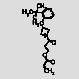 C=CC(=O)OCCC(=O)N1CC(Oc2ccccc2C(C)(C)C)C1